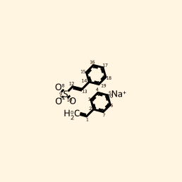 C=Cc1ccccc1.O=S(=O)([O-])C=Cc1ccccc1.[Na+]